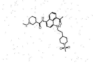 CSN1CCCC(C(=O)Nc2ccc(NCCC3CCN(S(C)(=O)=O)CC3)c3c(C(C)=O)cccc23)C1